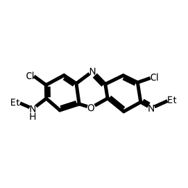 CC/N=c1/cc2oc3cc(NCC)c(Cl)cc3nc-2cc1Cl